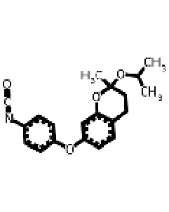 CC(C)OC1(C)CCc2ccc(Oc3ccc(N=C=O)cc3)cc2O1